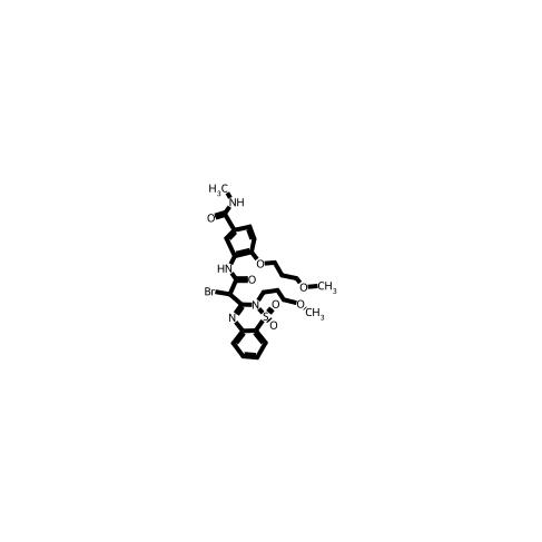 CNC(=O)c1ccc(OCCCOC)c(NC(=O)C(Br)C2=Nc3ccccc3S(=O)(=O)N2CCCOC)c1